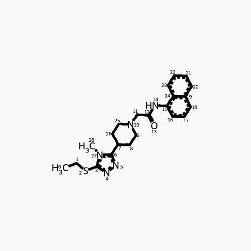 CCSc1nnc(C2CCN(CC(=O)Nc3cccc4ccccc34)CC2)n1C